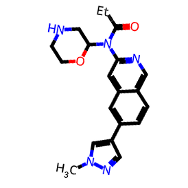 CCC(=O)N(c1cc2cc(-c3cnn(C)c3)ccc2cn1)C1CNCCO1